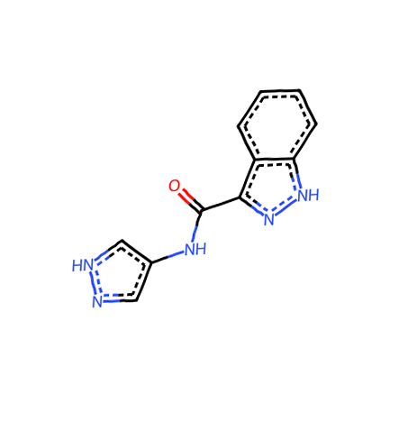 O=C(Nc1cn[nH]c1)c1n[nH]c2ccccc12